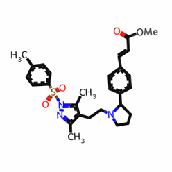 COC(=O)C=Cc1ccc(C2CCCN2CCc2c(C)nn(S(=O)(=O)c3ccc(C)cc3)c2C)cc1